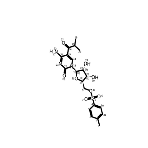 Cc1ccc(S(=O)(=O)OC[C@H]2O[C@@H](n3cc(C(=O)C(C)C)c(N)nc3=O)[C@H](O)[C@@H]2O)cc1